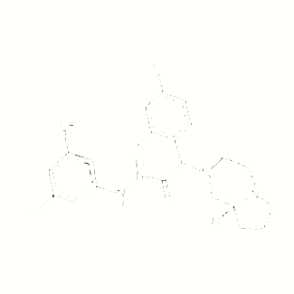 Cc1cc(F)ccc1C(C(=O)NNc1cc(C(F)(F)F)cc(C(F)(F)F)c1)N1CCN2CCC[C@@H]2C1